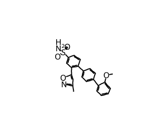 COc1ccccc1-c1ccc(-c2ccc(S(N)(=O)=O)cc2-c2cc(C)no2)cc1